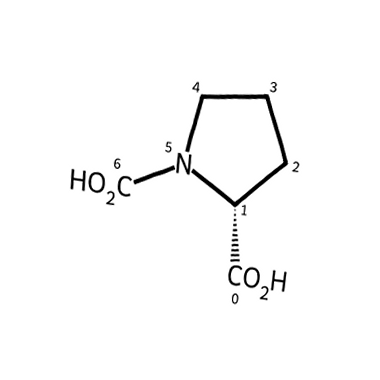 O=C(O)[C@H]1CCCN1C(=O)O